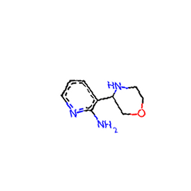 Nc1ncccc1C1COCCN1